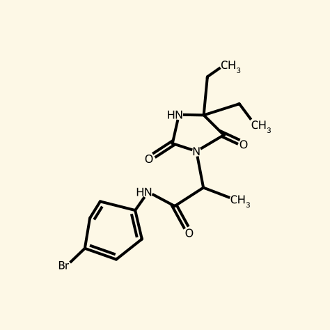 CCC1(CC)NC(=O)N(C(C)C(=O)Nc2ccc(Br)cc2)C1=O